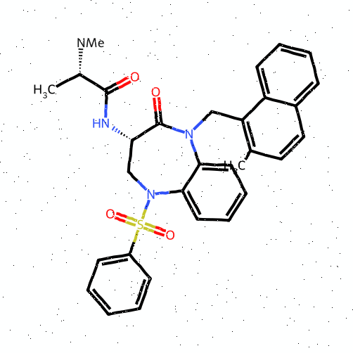 CN[C@@H](C)C(=O)N[C@H]1CN(S(=O)(=O)c2ccccc2)c2ccccc2N(Cc2c(C)ccc3ccccc23)C1=O